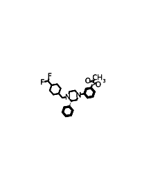 CS(=O)(=O)c1cccc(N2CCN(CC3CCC(C(F)F)CC3)[C@@H](c3ccccc3)C2)c1